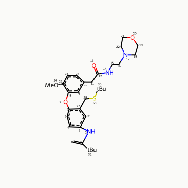 C=C(Nc1ccc(Oc2cc(CC(=O)NCCN3CCOCC3)ccc2OC)c(CSC(C)(C)C)c1)C(C)(C)C